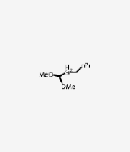 CCCC[SiH2]C(OC)OC